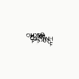 COc1cc(-c2c(F)ccc3c2n(C)c(=O)n3CC(=O)Nc2ccc(F)cc2)cc(F)c1OCc1ccccc1